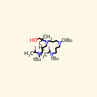 CC(C)CON(CCCN(C(C)I)C(C)(C)C)CCCN(CCCN(C(C)I)C(C)(C)C)C(C)(C)CO